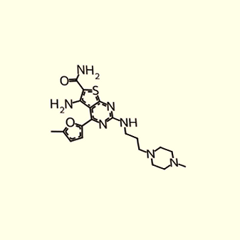 Cc1ccc(-c2nc(NCCCN3CCN(C)CC3)nc3sc(C(N)=O)c(N)c23)o1